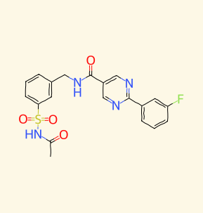 CC(=O)NS(=O)(=O)c1cccc(CNC(=O)c2cnc(-c3cccc(F)c3)nc2)c1